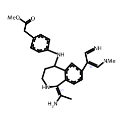 CN/C=C(\C=N)c1ccc2c(c1)C(Nc1ccc(CC(=O)OC)cc1)CCN/C2=C(/C)N